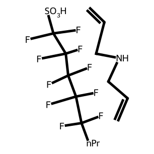 C=CCNCC=C.CCCC(F)(F)C(F)(F)C(F)(F)C(F)(F)C(F)(F)S(=O)(=O)O